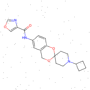 O=C(Nc1ccc2c(c1)COC1(CCN(C3CCC3)CC1)O2)c1cocn1